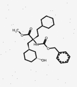 COC(=O)[C@@](CCC1CCCCC1)(C[C@@H]1CCC[C@@H](O)C1)NC(=O)OCc1ccccc1